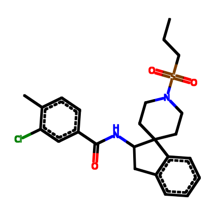 CCCS(=O)(=O)N1CCC2(CC1)c1ccccc1CC2NC(=O)c1ccc(C)c(Cl)c1